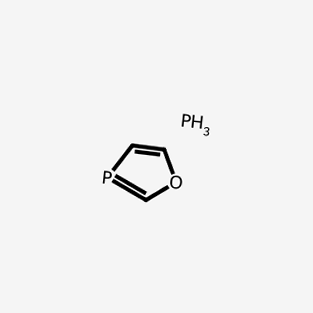 P.c1cpco1